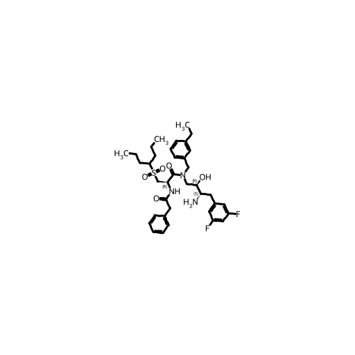 CCCC(CCC)S(=O)(=O)C[C@H](NC(=O)Cc1ccccc1)C(=O)N(Cc1cccc(CC)c1)C[C@@H](O)[C@@H](N)Cc1cc(F)cc(F)c1